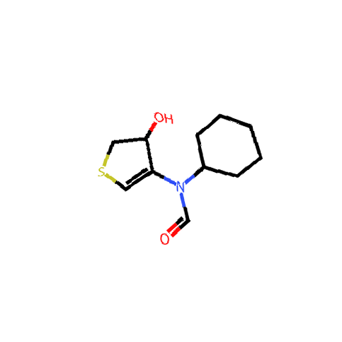 O=CN(C1=CSCC1O)C1CCCCC1